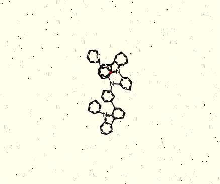 c1ccc(-c2ccc(N(c3cccc(-c4cccc5c6ccccc6n(-c6ccccc6)c45)c3)c3ccccc3-n3c4ccccc4c4ccccc43)cc2)cc1